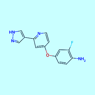 Nc1ccc(Oc2ccnc(-c3cn[nH]c3)c2)cc1F